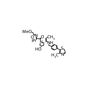 C/C=C(\NCc1ccc(C2=C(C)N=CCS2)cc1)[C@@H]1C[C@@H](O)CN1C(=O)/C(=N/C(=O)COC)C(C)C